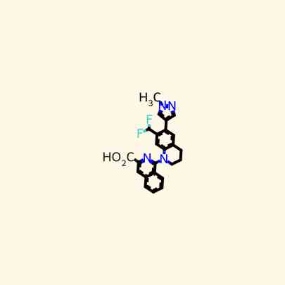 Cn1cc(-c2cc3c(cc2C(F)F)N(c2nc(C(=O)O)cc4ccccc24)CCC3)cn1